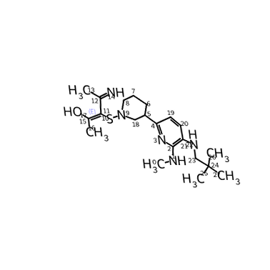 CNc1nc(C2CCCN(S/C(C(C)=N)=C(\C)O)C2)ccc1NCC(C)(C)C